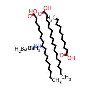 C=CCCCCCCCCC(=O)O.CCCCCCCCCCCCCCCCCC(=O)O.CCCCCCCCCCCCCCCCCC(=O)O.N.N.[BaH2].[BaH2]